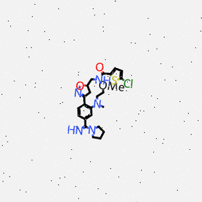 COCCN(C)c1cc(C(=N)N2CCCC2)ccc1C1=NOC(CNC(=O)c2ccc(Cl)s2)C1